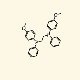 COc1ccc(P(CCP(c2ccccc2)c2ccc(OC)cc2)c2ccccc2)cc1